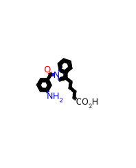 Nc1cccc(C(=O)n2cc(CCCCC(=O)O)c3ccccc32)c1